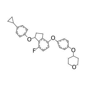 Fc1ccc(Oc2ccc(OC3CCOCC3)cc2)c2c1C(Oc1ccc(C3CC3)cc1)CC2